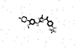 C=C(c1ccc(NS(C)(=O)=O)cc1)n1nc(Nc2ccc(N3CCN(C)CC3)c(OC)c2)nc1C